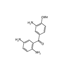 COc1ccc(C(=O)c2cc(N)ccc2N)cc1N